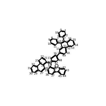 c1ccc(-c2c(-c3ccccc3)c3cc(-c4ccc(N(c5cccc6c5ccc5ccccc56)c5cccc6c5oc5ccccc56)cc4)ccc3c3ccccc23)cc1